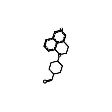 O=CC1CCC(N2CCc3cncc4cccc2c34)CC1